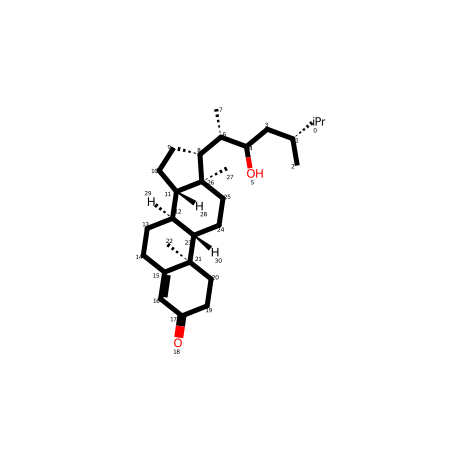 CC(C)[C@H](C)CC(O)[C@@H](C)[C@H]1CC[C@H]2[C@@H]3CCC4=CC(=O)CC[C@]4(C)[C@H]3CC[C@]12C